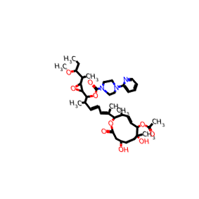 CCC(OC)C(C)C1OC1C(OC(=O)N1CCN(c2ccccn2)CC1)C(C)/C=C/C=C(\C)C1OC(=O)CC(O)CCC(C)(O)C(OC(C)=O)/C=C/C1C